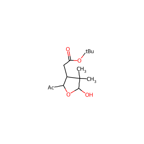 CC(=O)C1OC(O)C(C)(C)C1CC(=O)OC(C)(C)C